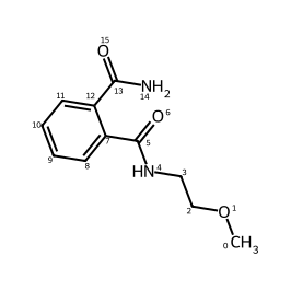 COCCNC(=O)c1ccccc1C(N)=O